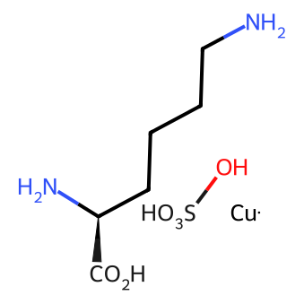 NCCCC[C@H](N)C(=O)O.O=S(=O)(O)O.[Cu]